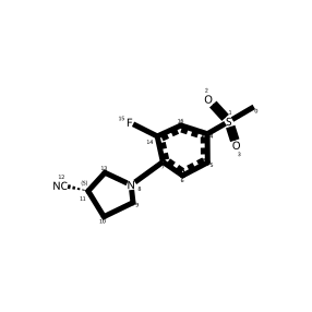 CS(=O)(=O)c1ccc(N2CC[C@H](C#N)C2)c(F)c1